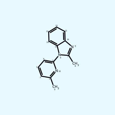 Cc1cccc(-n2c(C)nc3ccccc32)n1